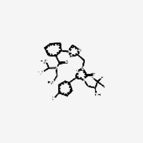 CCN(C(=O)c1ccccc1-n1cnc(Cn2nc(-c3ccc(Cl)cc3)n(C[C@H](O)C(F)(F)F)c2=O)n1)C(C)C